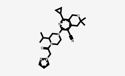 CC(C)C1CN(c2nc(C3CC3)c3c(c2C#N)CC(C)(C)OC3)CCN1C(=O)Cn1cccn1